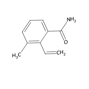 C=Cc1c(C)cccc1C(N)=O